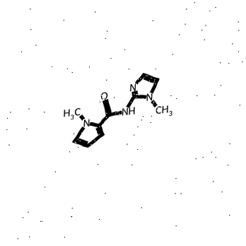 Cn1cccc1C(=O)Nc1nccn1C